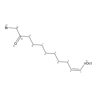 CCCCCCCC/C=C\CCCCCCCC(=O)[C]Br